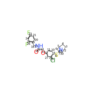 CN1C2CCC1CC(Sc1ccc(OCC(=O)NCc3ccc(F)cc3F)cc1Cl)C2